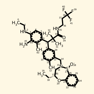 CCNc1ccc(C(c2ccc(C)c(CN3C[C@@H](CC)Oc4ccccc4[S+]3[O-])c2)C(C)(C)C(=O)NCCC(F)(F)F)c(C)c1N